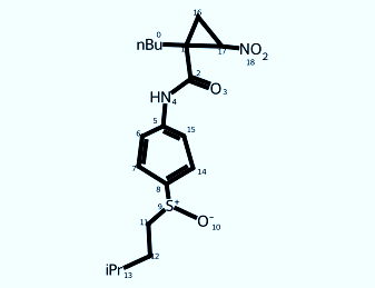 CCCCC1(C(=O)Nc2ccc([S+]([O-])CCC(C)C)cc2)CC1[N+](=O)[O-]